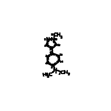 CN(C)c1ccc(-c2cnn(C)c2)cc1